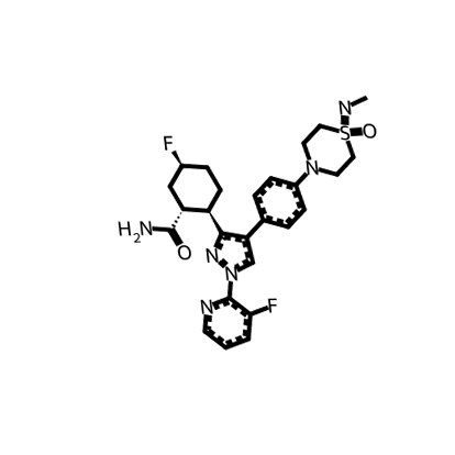 CN=S1(=O)CCN(c2ccc(-c3cn(-c4ncccc4F)nc3[C@@H]3CC[C@H](F)C[C@H]3C(N)=O)cc2)CC1